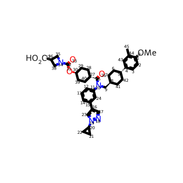 COc1ccc([C@H]2CC[C@H](CN(c3cccc(-c4cnn(C5CC5)c4)c3)C(=O)[C@H]3CC[C@H](OC(=O)N4CC(C(=O)O)C4)CC3)CC2)cc1C